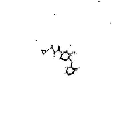 C=C(C(=O)NC1CC1)c1ccc(Sc2ccccc2C)c(C(F)(F)F)c1